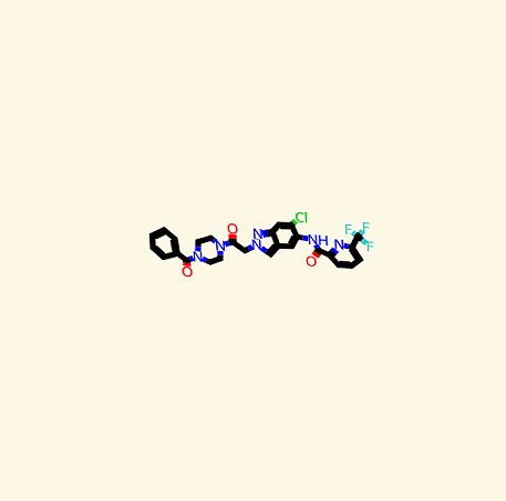 O=C(Nc1cc2cn(CC(=O)N3CCN(C(=O)c4ccccc4)CC3)nc2cc1Cl)c1cccc(C(F)(F)F)n1